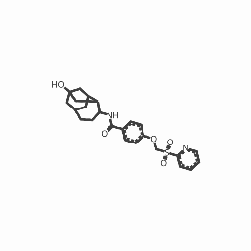 O=C(NC1CCC2CC3CC(O)(C2)CC31)c1ccc(OCS(=O)(=O)c2ccccn2)cc1